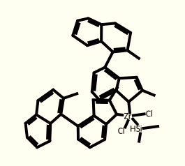 CC1=Cc2c(-c3c(C)ccc4ccccc34)cccc2[CH]1[Zr]([Cl])([Cl])([CH]1C(C)=Cc2c(-c3c(C)ccc4ccccc34)cccc21)[SiH](C)C